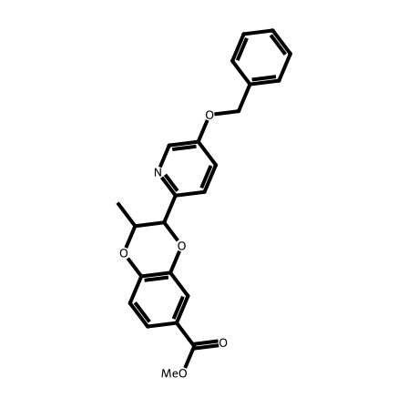 COC(=O)c1ccc2c(c1)OC(c1ccc(OCc3ccccc3)cn1)C(C)O2